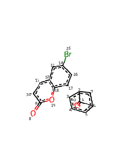 O=C1c2cccc1c2.O=c1ccc2cc(Br)ccc2o1